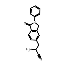 N#CC(N)Cc1ccc2c(c1)CN(c1ccccc1)C2=O